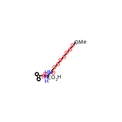 COCCOCCOCCOCCOCCOCCOCCOCCC(=O)NCC[C@H](NC(=O)OCC1c2ccccc2-c2ccccc21)C(=O)O